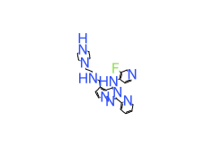 Fc1cnccc1Nc1nc(-c2ccccn2)nn2ccc(CNCCN3CCNCC3)c12